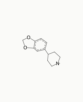 c1cc2c(cc1C1CC[N]CC1)OCO2